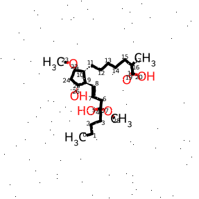 CCCCC(O)(CC=C[C@@H]1[C@@H](CCCCCC(C)C(=O)O)[C@H](OC)C[C@H]1O)OC